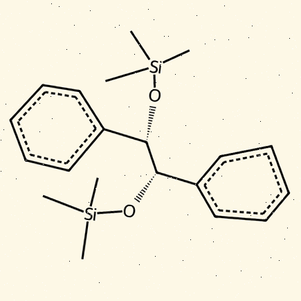 C[Si](C)(C)O[C@@H](c1ccccc1)[C@@H](O[Si](C)(C)C)c1ccccc1